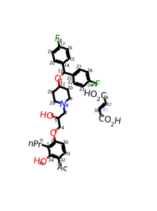 CCCc1c(OCC(O)CN2CCC(OC(c3ccc(F)cc3)c3ccc(F)cc3)CC2)ccc(C(C)=O)c1O.O=C(O)/C=C/C(=O)O